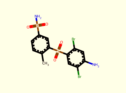 Cc1ccc(S(N)(=O)=O)cc1S(=O)(=O)c1cc(Br)c(N)cc1Br